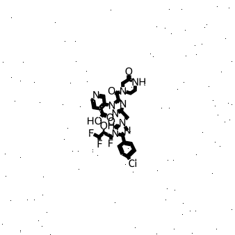 O=C1CN(C(=O)c2nc(Cn3nc(-c4ccc(Cl)cc4)n(C(F)[C@H](O)C(F)F)c3=O)nn2-c2cnccc2C(=O)O)CCN1